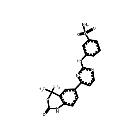 CC1(C)OC(=O)Nc2ccc(-c3ccnc(Nc4cccc(S(N)(=O)=O)c4)n3)cc21